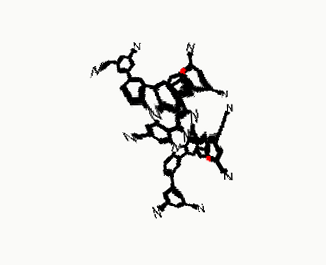 N#Cc1cc(C#N)cc(-c2ccc3c(c2)c2cc(-c4cc(C#N)cc(C#N)c4)ccc2n3-c2cc(C#N)cc(-n3c4ccc(-c5cc(C#N)cc(C#N)c5)cc4c4cc(-c5cc(C#N)cc(C#N)c5)ccc43)c2-c2cc(-c3ccccc3)nc(-c3ccccc3)n2)c1